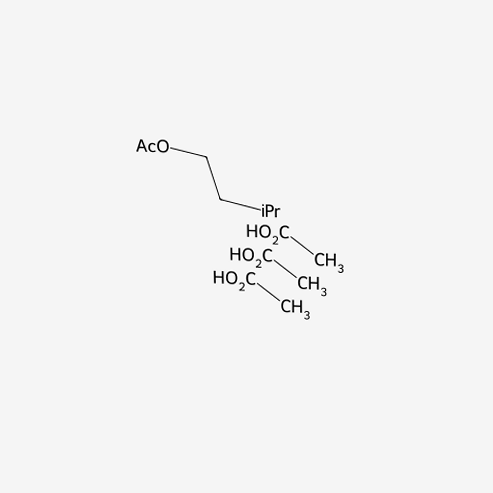 CC(=O)O.CC(=O)O.CC(=O)O.CC(=O)OCCC(C)C